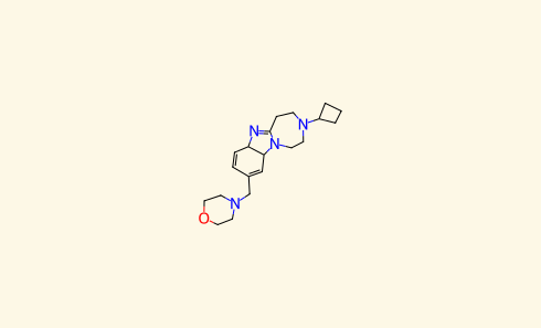 C1=CC2N=C3CCN(C4CCC4)CCN3C2C=C1CN1CCOCC1